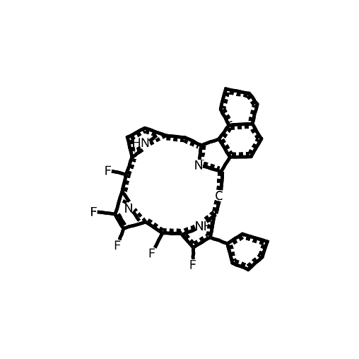 FC1=C(F)c2nc1c(F)c1ccc(cc3nc(cc4[nH]c(c2F)c(F)c4-c2ccccc2)-c2ccc4ccccc4c2-3)[nH]1